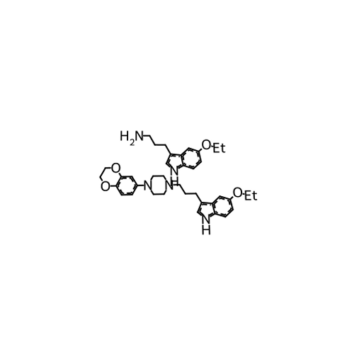 CCOc1ccc2[nH]cc(CCCN)c2c1.CCOc1ccc2[nH]cc(CCCN3CCN(c4ccc5c(c4)OCCO5)CC3)c2c1